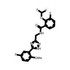 COc1ccc(F)cc1-c1nc(CNC(=O)c2cccc(F)c2OC(F)F)n[nH]1